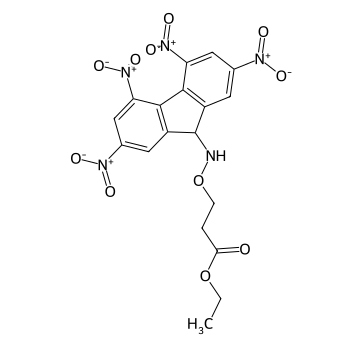 CCOC(=O)CCONC1c2cc([N+](=O)[O-])cc([N+](=O)[O-])c2-c2c1cc([N+](=O)[O-])cc2[N+](=O)[O-]